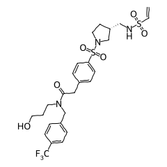 C=CS(=O)(=O)NC[C@H]1CCN(S(=O)(=O)c2ccc(CC(=O)N(CCCO)Cc3ccc(C(F)(F)F)cc3)cc2)C1